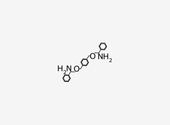 N[C@@H](COCc1ccc(COC[C@H](N)c2ccccc2)cc1)c1ccccc1